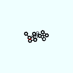 C1=CC2=C(CC1)C1(c3cc4c(cc32)Oc2c(cccc2N(c2cccc(-c3ccccc3)c2)c2ccccc2-c2ccccc2)O4)c2ccccc2-c2ccccc21